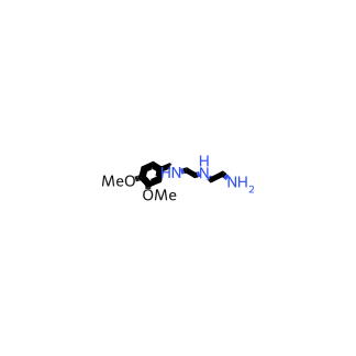 COc1ccc(CNCCNCCN)cc1OC